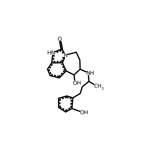 CC(CCc1ccccc1O)NC1CCn2c(=O)[nH]c3cccc(c32)C1O